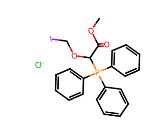 COC(=O)C(OCI)[P+](c1ccccc1)(c1ccccc1)c1ccccc1.[Cl-]